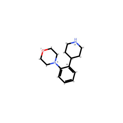 c1ccc(N2CCOCC2)c(C2CCNCC2)c1